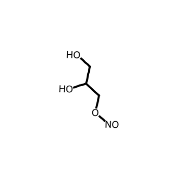 O=NOCC(O)CO